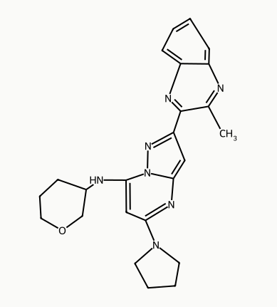 Cc1nc2ccccc2nc1-c1cc2nc(N3CCCC3)cc(NC3CCCOC3)n2n1